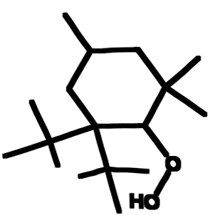 CC1CC(C)(C)C(OO)C(C(C)(C)C)(C(C)(C)C)C1